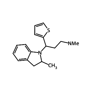 CNCCC(c1cccs1)N1c2ccccc2CC1C